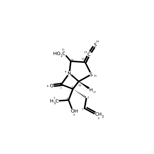 C=CC[C@]1(C(C)O)C(=O)N2C(C(=O)O)C(=C=S)S[C@@H]21